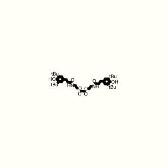 CC(C)(C)c1cc(CCC(=O)NCCOC(=O)C(=O)OCCNC(=O)CCc2cc(C(C)(C)C)c(O)c(C(C)(C)C)c2)cc(C(C)(C)C)c1O